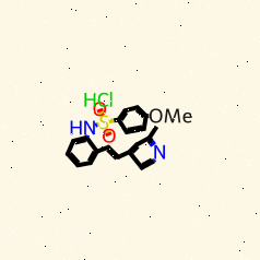 COc1ccc(S(=O)(=O)Nc2ccccc2C=Cc2ccnc(C)c2)cc1.Cl